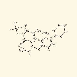 CN(C(=O)OC(C)(C)C)[C@@H](CC(C)(C)F)C(=O)O[C@@H](CO)Cc1ccc(C2CCOCC2)cn1